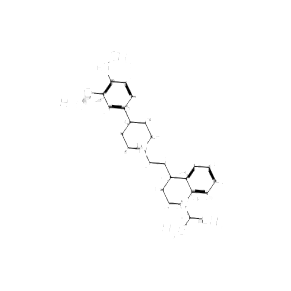 COc1ccc(C2CCN(CCC3CCN(C(C)C)c4ccccc43)CC2)cc1OC